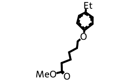 CCc1ccc(OCCCCCC(=O)OC)cc1